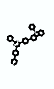 c1ccc(-c2nc(-c3ccc(-c4ccncc4)cc3)cc(-c3ccc(-c4ccc5c6ccccc6n(-c6ccccc6)c5c4)cc3)n2)cc1